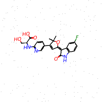 CC1(C)O/C(=C2/C(=O)Nc3ccc(F)cc32)C=C1c1ccc(N[C@@H](CO)C(=O)O)nc1